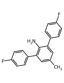 Cc1cc(-c2ccc(F)cc2)c(N)c(-c2ccc(F)cc2)c1